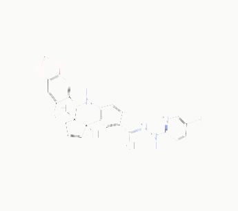 CC(=NNc1ccc(I)cn1)c1ccc2c(c1)[C@@H]1C=CC[C@@H]1[C@@H](c1cc3c(cc1Br)OCO3)N2